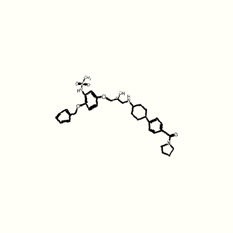 CS(=O)(=O)Nc1cc(OC[C@@H](O)CNC2CCC(c3ccc(C(=O)N4CCCC4)cc3)CC2)ccc1OCc1ccccc1